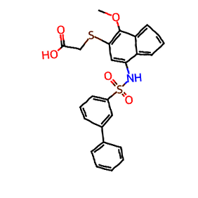 COc1c(SCC(=O)O)cc(NS(=O)(=O)c2cccc(-c3ccccc3)c2)c2ccccc12